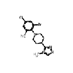 Cn1cnnc1C1CCN(c2c(Br)cc(Cl)cc2C#N)CC1